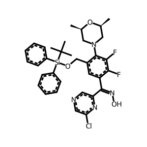 C[C@@H]1CN(c2c(CO[Si](c3ccccc3)(c3ccccc3)C(C)(C)C)cc(/C(=N/O)c3cncc(Cl)n3)c(F)c2F)C[C@H](C)O1